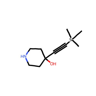 C[Si](C)(C)C#CC1(O)CCNCC1